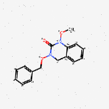 CON1C(=O)N(OCc2ccccc2)Cc2ccccc21